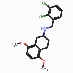 COc1ccc(OC)c2c1CCC(NCc1cccc(Cl)c1Cl)C2